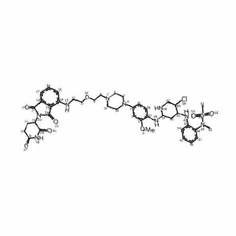 COc1cc(N2CCN(CCOCCNc3cccc4c3C(=O)N(C3CCC(=O)NC3=O)C4=O)CC2)ccc1NC1CC(Nc2ccccc2N(C)S(C)(=O)=O)C(Cl)CN1